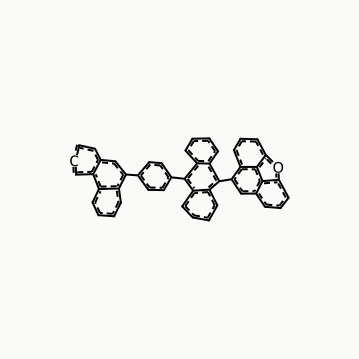 c1ccc2c(c1)cc(-c1ccc(-c3c4ccccc4c(-c4cc5cccc6oc7cccc4c7c56)c4ccccc34)cc1)c1ccccc12